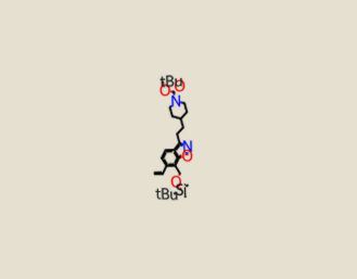 C=Cc1ccc2c(CCC3CCN(C(=O)OC(C)(C)C)CC3)noc2c1CO[Si](C)(C)C(C)(C)C